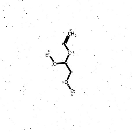 C=COC(COCC)OCC